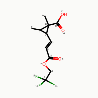 CC1C(C=CC(=O)OCC(F)(F)F)C1(C)C(=O)O